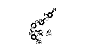 Cc1ncc(Cn2c(CN3CCC(Oc4cccc(COc5ccc(C#N)cc5F)n4)CC3)nc3ccc(C(=O)O)cc32)n1C.O=CO